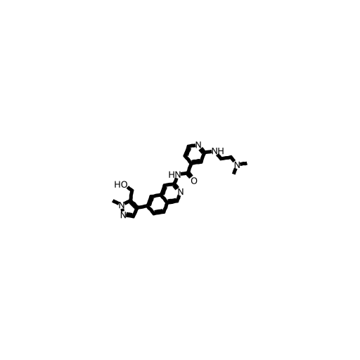 CN(C)CCNc1cc(C(=O)Nc2cc3cc(-c4cnn(C)c4CO)ccc3cn2)ccn1